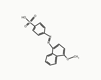 COc1ccc(N=Nc2ccc(S(=O)(=O)O)cc2)c2ccccc12